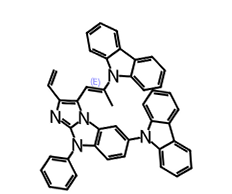 C=Cc1nc2n(-c3ccccc3)c3ccc(-n4c5ccccc5c5ccccc54)cc3n2c1/C=C(\C)n1c2ccccc2c2ccccc21